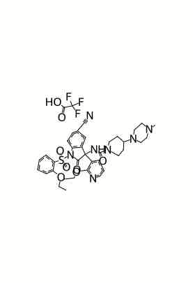 CCOc1ccccc1S(=O)(=O)N1C(=O)C(NC(=O)N2CCC(N3CCN(C)CC3)CC2)(c2cccnc2OCC)c2cc(C#N)ccc21.O=C(O)C(F)(F)F